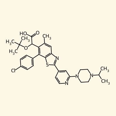 Cc1cc2nc(-c3ccnc(N4CCN(C(C)C)CC4)c3)sc2c(-c2ccc(Cl)cc2)c1C(OC(C)(C)C)C(=O)O